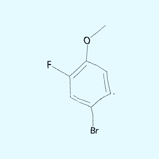 COc1c[c]c(Br)cc1F